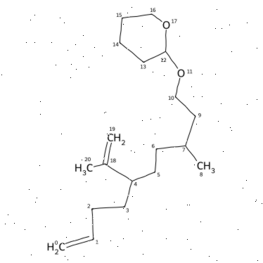 C=CCCC(CCC(C)CCOC1CCCCO1)C(=C)C